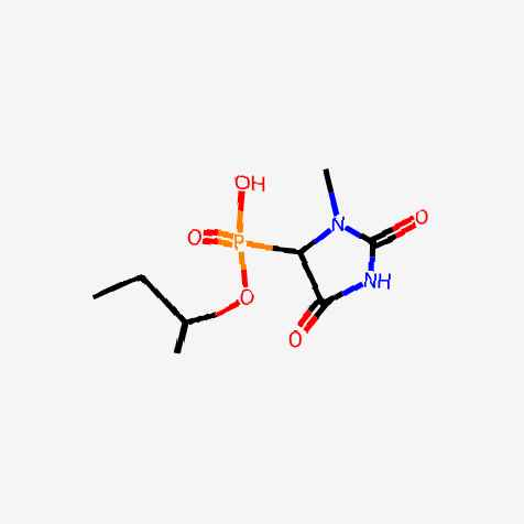 CCC(C)OP(=O)(O)C1C(=O)NC(=O)N1C